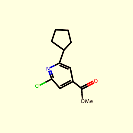 COC(=O)c1cc(Cl)nc(C2CCCC2)c1